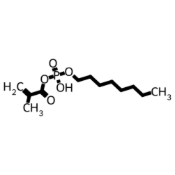 C=C(C)C(=O)OP(=O)(O)OCCCCCCCC